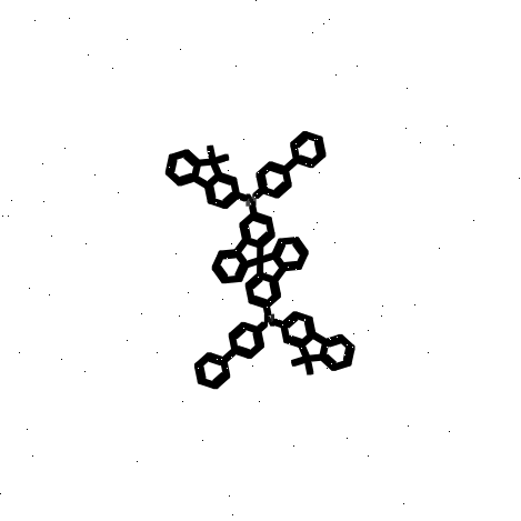 CC1(C)c2ccccc2-c2ccc(N(c3ccc(-c4ccccc4)cc3)c3ccc4c(c3)-c3ccccc3C43c4ccccc4-c4cc(N(c5ccc(-c6ccccc6)cc5)c5ccc6c(c5)C(C)(C)c5ccccc5-6)ccc43)cc21